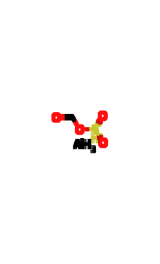 O=CO[SH](=O)=O.[AlH3]